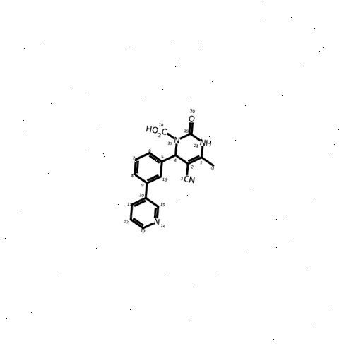 CC1=C(C#N)C(c2cccc(-c3cccnc3)c2)N(C(=O)O)C(=O)N1